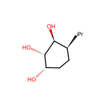 CC(C)[C@H]1CC[C@H](O)[C@H](O)[C@H]1O